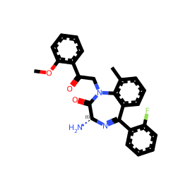 COc1ccccc1C(=O)CN1C(=O)[C@@H](N)N=C(c2ccccc2F)c2cccc(C)c21